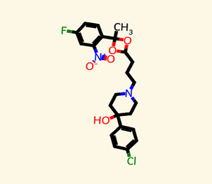 CC1(c2ccc(F)cc2[N+](=O)[O-])OC(CCCN2CCC(O)(c3ccc(Cl)cc3)CC2)O1